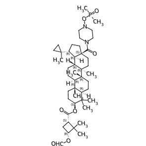 CC1([C@@H]2CC[C@]3(C(=O)N4CCN(OP(C)(C)=O)CC4)CC[C@]4(C)[C@H](CC[C@@H]5[C@@]6(C)CC[C@H](OC(=O)[C@H]7C[C@@H](OC=O)C7(C)C)C(C)(C)[C@@H]6CC[C@]54C)[C@@H]23)CC1